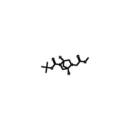 COC(=O)CN1C[C@@H]2C[C@H]1CN2C(=O)OC(C)(C)C